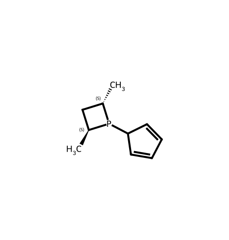 C[C@H]1C[C@H](C)P1C1C=CC=C1